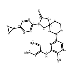 C=C/C(=C\NC)Nc1nc(N2CCCC3(C2)CN(c2ccc(C4CC4)cc2)C(=O)O3)cnc1C#N